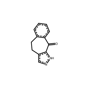 O=C1c2ccccc2CCc2cn[nH]c21